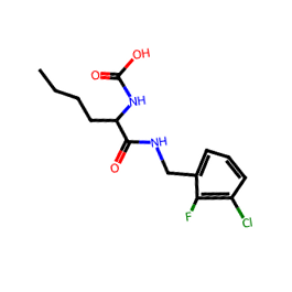 CCCCC(NC(=O)O)C(=O)NCc1cccc(Cl)c1F